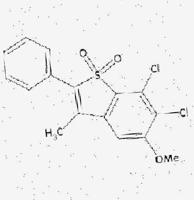 COc1cc2c(c(Cl)c1Cl)S(=O)(=O)C(c1ccccc1)=C2C